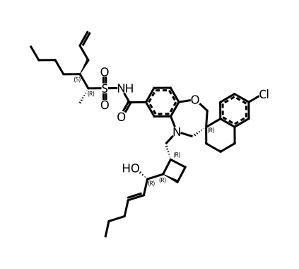 C=CC[C@H](CCCC)[C@@H](C)S(=O)(=O)NC(=O)c1ccc2c(c1)N(C[C@@H]1CC[C@H]1[C@@H](O)C=CCCC)C[C@]1(CCCc3cc(Cl)ccc31)CO2